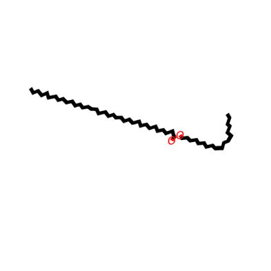 CCCCC/C=C\C/C=C\CCCCCCCCOC(=O)CCCCCCCCCCCCCCCCCCCCCCCCCCCCCCCCCCC